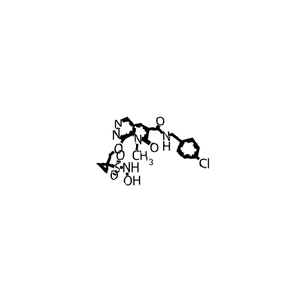 Cn1c(=O)c(C(=O)NCc2ccc(Cl)cc2)cc2cnnc(OCC3(S(=O)(=O)NO)CC3)c21